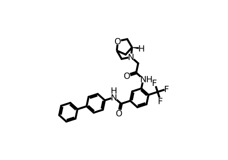 O=C(CN1CC2C[C@@H]1CO2)Nc1cc(C(=O)Nc2ccc(-c3ccccc3)cc2)ccc1C(F)(F)F